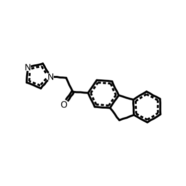 O=C(Cn1ccnc1)c1ccc2c(c1)Cc1ccccc1-2